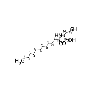 CCCCCCCCCCCCC(=O)NC(CCS)C(=O)O